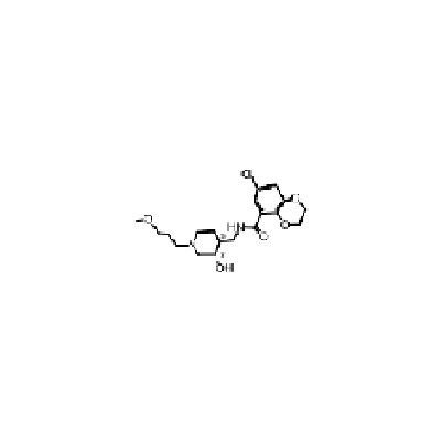 COCCCN1CC[C@@H](CNC(=O)c2cc(Cl)cc3c2OCCO3)[C@H](O)C1